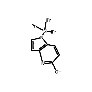 CC(C)[Si](C(C)C)(C(C)C)n1ccc2nc(O)ccc21